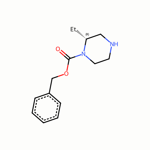 CC[C@@H]1CNCCN1C(=O)OCc1ccccc1